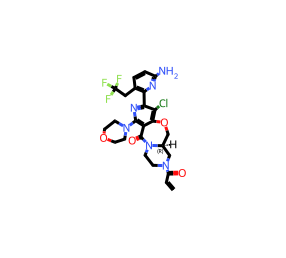 C=CC(=O)N1CCN2C(=O)c3c(N4CCOCC4)nc(-c4nc(N)ccc4CC(F)(F)F)c(Cl)c3OC[C@H]2C1